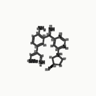 CN/C=C(\C=N)c1ccc(N)c(C(=N)c2cc(N3CC[C@@H](F)C3)ncn2)c1